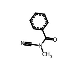 CN(C#N)C(=O)c1cc[c]cc1